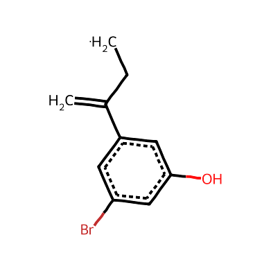 [CH2]CC(=C)c1cc(O)cc(Br)c1